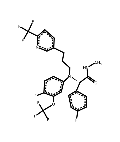 CNC(=O)[C@H](c1ccc(F)cc1)N(CCCc1ccc(C(F)(F)F)nc1)c1ccc(F)c(OC(F)(F)F)c1